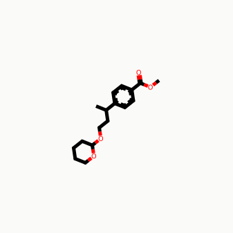 COC(=O)c1ccc(C(C)CCOC2CCCCO2)cc1